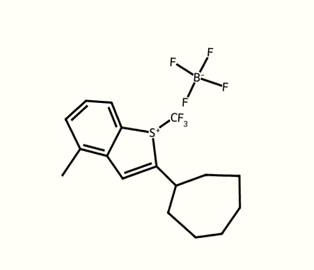 Cc1cccc2c1cc(C1CCCCCC1)[s+]2C(F)(F)F.F[B-](F)(F)F